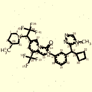 C[C@H]1CCCN(C(c2cc(C(F)(F)F)c3cn(-c4cccc(C(c5nncn5C)C5CCC5)c4)c(=O)n3c2)C(F)(F)F)C1